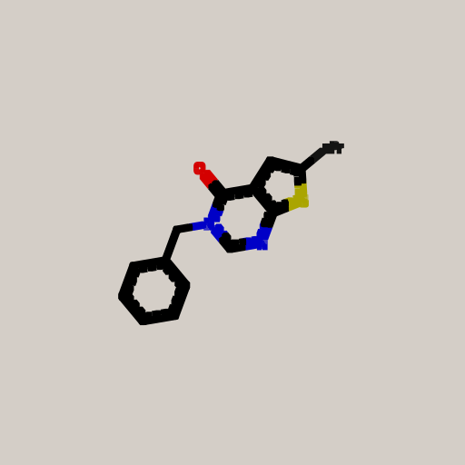 CCCc1cc2c(=O)n(Cc3ccccc3)cnc2s1